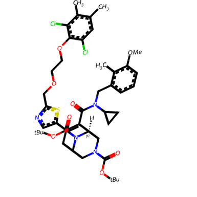 COc1cccc(CN(C(=O)C2=C(c3cnc(COCCOc4c(Cl)cc(C)c(C)c4Cl)s3)CC3CN(C(=O)OC(C)(C)C)C[C@H]2N3C(=O)OC(C)(C)C)C2CC2)c1C